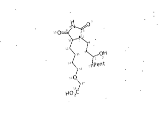 CCCCCC(O)CCN1C(=O)NC(=O)C1CCCCOCC(=O)O